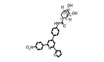 O=C(Nc1ccc(-c2cc(-c3ccc([N+](=O)[O-])cc3)nc(-c3ccco3)c2)cc1)[C@H]1C[C@@H]2O[C@H]1[C@@H](O)[C@H]2O